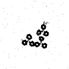 [I-].[I-].[Pd+2].c1ccc(P(c2ccccc2)c2ccccc2)cc1.c1ccc(P(c2ccccc2)c2ccccc2)cc1.c1ccc(P(c2ccccc2)c2ccccc2)cc1